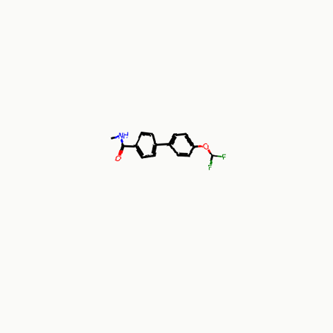 CNC(=O)c1ccc(-c2ccc(OC(F)F)cc2)cc1